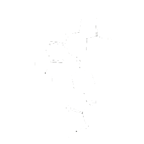 CC1Oc2ccc(C(F)(F)F)cc2N(C2CCC(NC(=O)OC(C)(C)C)CC2)CC1C(=O)O